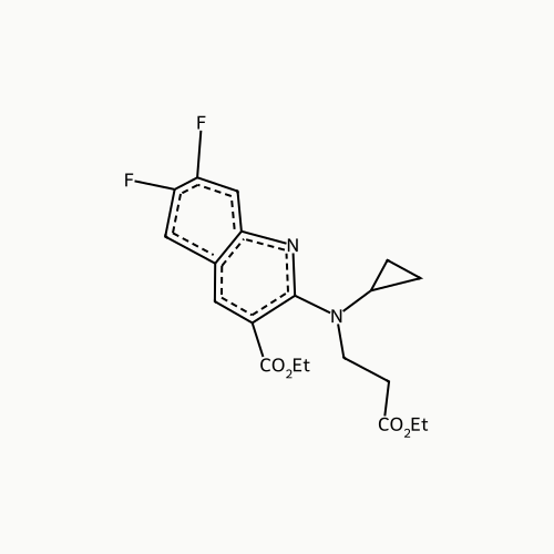 CCOC(=O)CCN(c1nc2cc(F)c(F)cc2cc1C(=O)OCC)C1CC1